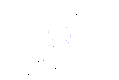 COC(=O)c1cc(NC(=O)c2c(C(F)(F)F)c(OC(C)C)nn2CC2CCC(F)(F)C2)ccn1